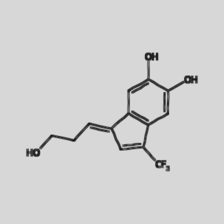 OCC/C=C1\C=C(C(F)(F)F)c2cc(O)c(O)cc21